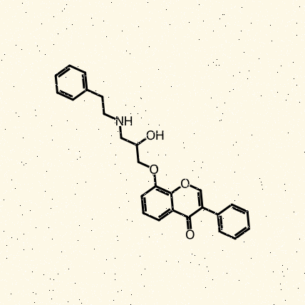 O=c1c(-c2ccccc2)coc2c(OCC(O)CNCCc3ccccc3)cccc12